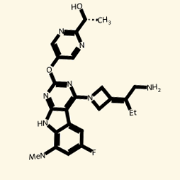 CCC(CN)=C1CN(c2nc(Oc3cnc([C@@H](C)O)nc3)nc3[nH]c4c(NC)cc(F)cc4c23)C1